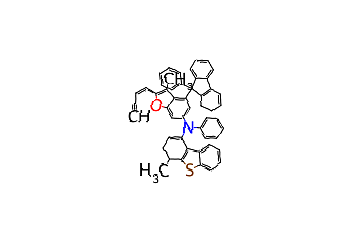 C#C/C=C\c1oc2cc(N(C3=CCC(C)c4sc5ccccc5c43)c3ccccc3)cc(C3(c4ccccc4)C4=C(C=CCC4)c4ccccc43)c2c1C